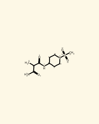 C[C](C(N)=O)C(=O)NC1CCN(S(C)(=O)=O)CC1